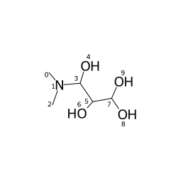 CN(C)C(O)C(O)C(O)O